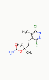 Cc1c(Cl)nnc(Cl)c1CCC(C)(C)OC(N)=O